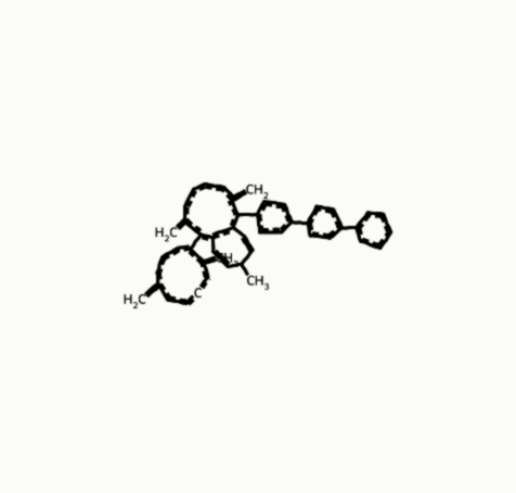 C=c1ccccc(=C)c(-c2c3c(c(-c4ccc(-c5ccc(-c6ccccc6)cc5)cc4)c(=C)ccccc2=C)C=CC(C)C=C3)ccc1